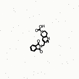 O=C(O)N1CCc2nnc(CN3C(=O)c4ccccc4C3=O)cc2C1